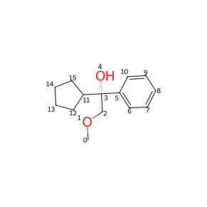 COC[C@](O)(c1ccccc1)C1CCCC1